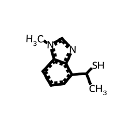 CC(S)c1cccc2c1ncn2C